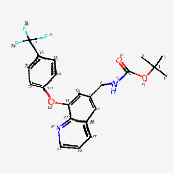 CC(C)(C)OC(=O)NCc1cc(Oc2ccc(C(F)(F)F)cc2)c2ncccc2c1